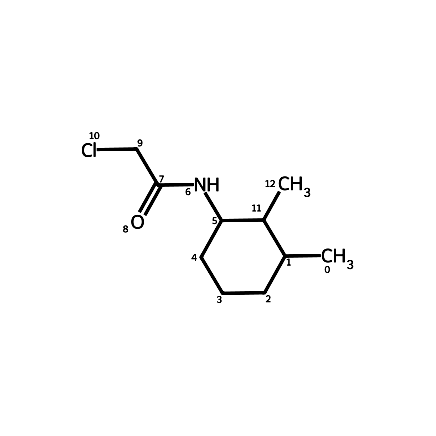 CC1CCCC(NC(=O)CCl)C1C